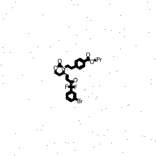 CC(C)OC(=O)c1ccc(CCN2C(=O)OCC[C@@H]2C=CC(=O)C(F)(F)c2cccc(Br)c2)cc1